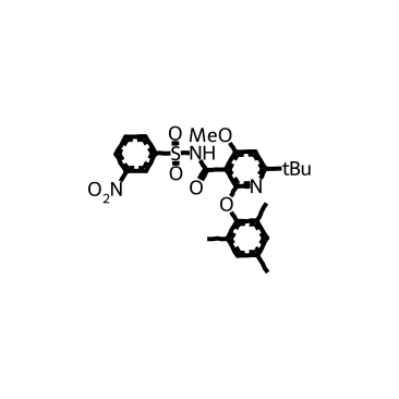 COc1cc(C(C)(C)C)nc(Oc2c(C)cc(C)cc2C)c1C(=O)NS(=O)(=O)c1cccc([N+](=O)[O-])c1